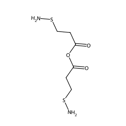 NSCCC(=O)OC(=O)CCSN